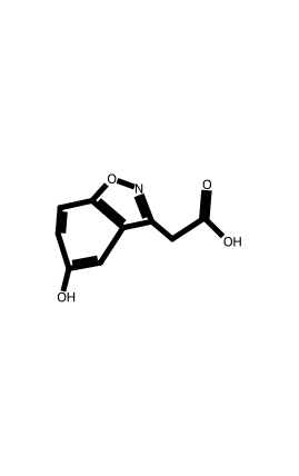 O=C(O)Cc1noc2ccc(O)cc12